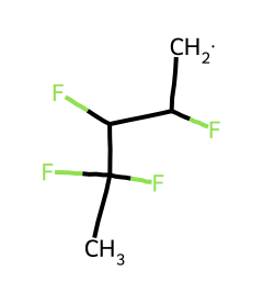 [CH2]C(F)C(F)C(C)(F)F